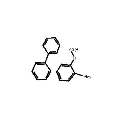 CCCCCCc1ccccc1OC(=O)O.c1ccc(-c2ccccc2)cc1